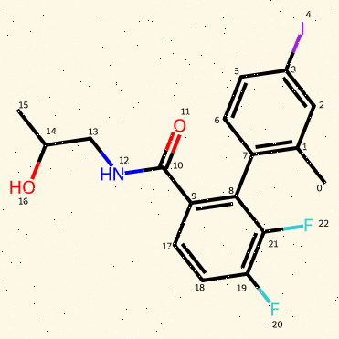 Cc1cc(I)ccc1-c1c(C(=O)NCC(C)O)ccc(F)c1F